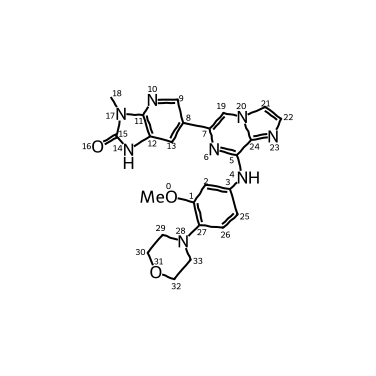 COc1cc(Nc2nc(-c3cnc4c(c3)[nH]c(=O)n4C)cn3ccnc23)ccc1N1CCOCC1